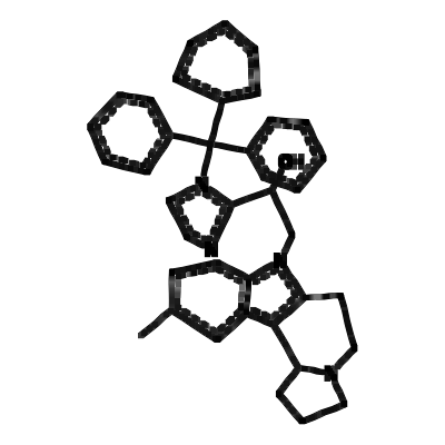 Cc1ccc2c(c1)c1c(n2CC(O)c2nccn2C(c2ccccc2)(c2ccccc2)c2ccccc2)CCN2CCCC12